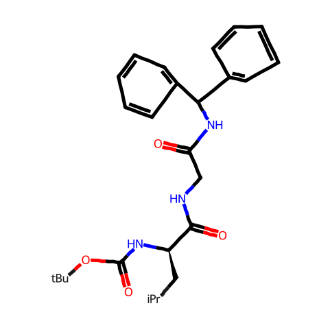 CC(C)C[C@@H](NC(=O)OC(C)(C)C)C(=O)NCC(=O)NC(c1ccccc1)c1ccccc1